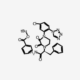 CC(C)(C)OC(=O)c1ccccc1.NC(=O)[C@H](Cc1ccccc1)N1CCN(c2cc(Cl)ccc2-n2cnnn2)C(=O)C1=O